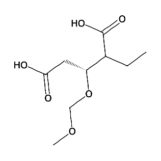 CCC(C(=O)O)[C@@H](CC(=O)O)OCOC